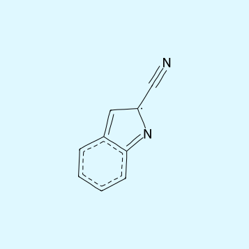 N#C[C]1C=c2ccccc2=N1